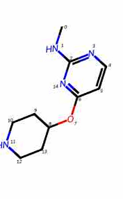 CNc1nccc(OC2CCNCC2)n1